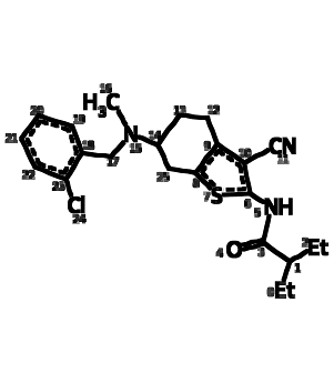 CCC(CC)C(=O)Nc1sc2c(c1C#N)CCC(N(C)Cc1ccccc1Cl)C2